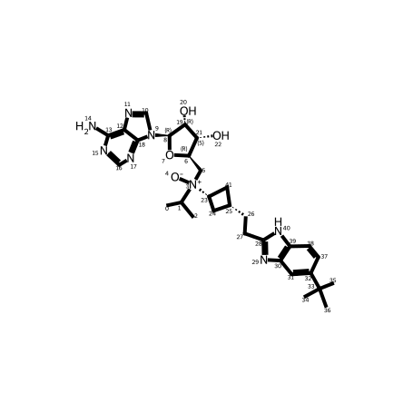 CC(C)[N+]([O-])(C[C@H]1O[C@@H](n2cnc3c(N)ncnc32)[C@H](O)[C@@H]1O)[C@H]1C[C@@H](CCc2nc3cc(C(C)(C)C)ccc3[nH]2)C1